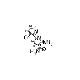 NC(=O)c1ccc(-c2ncccc2Cl)nc1N